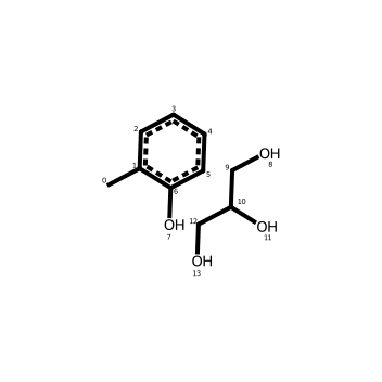 Cc1ccccc1O.OCC(O)CO